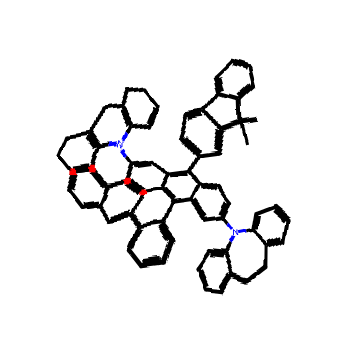 CC1(C)c2ccccc2-c2ccc(-c3c4cc(N5C6=C(CCC=C6)CC6=C5C=CCC6)ccc4c(-c4ccccc4-c4ccc5ccccc5c4)c4cc(N5c6ccccc6CCc6ccccc65)ccc34)cc21